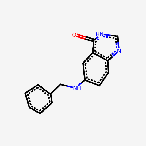 O=c1[nH]cnc2ccc(NCc3ccccc3)cc12